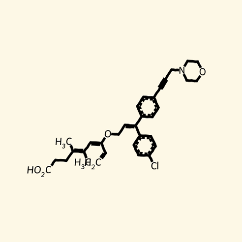 C=C/C(=C\C(C)=C(/C)CCC(=O)O)OC/C=C(\c1ccc(Cl)cc1)c1ccc(C#CCN2CCOCC2)cc1